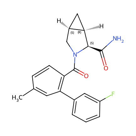 Cc1ccc(C(=O)N2C[C@H]3C[C@H]3[C@H]2C(N)=O)c(-c2cccc(F)c2)c1